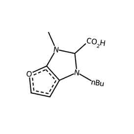 CCCCN1c2ccoc2N(C)C1C(=O)O